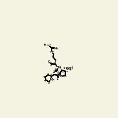 Cl.Cl.N=C(N)NCCC[C@@H](C=O)NC(=O)[C@]1(C(=O)CC2CCCCN2)CCCN1.O